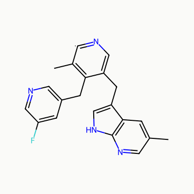 Cc1cnc2[nH]cc(Cc3cn[c]c(C)c3Cc3cncc(F)c3)c2c1